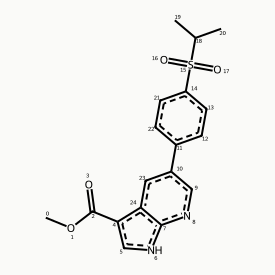 COC(=O)c1c[nH]c2ncc(-c3ccc(S(=O)(=O)C(C)C)cc3)cc12